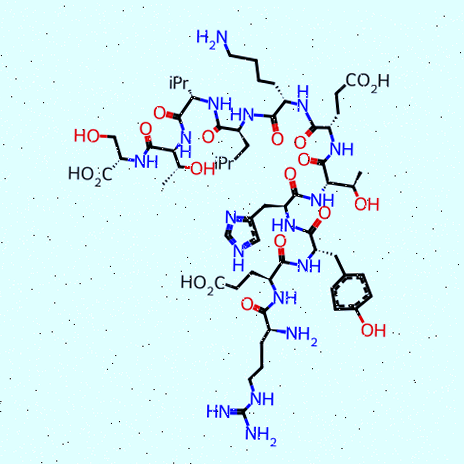 CC(C)C[C@H](NC(=O)[C@H](CCCCN)NC(=O)[C@H](CCC(=O)O)NC(=O)[C@@H](NC(=O)[C@H](Cc1c[nH]cn1)NC(=O)[C@H](Cc1ccc(O)cc1)NC(=O)[C@H](CCC(=O)O)NC(=O)[C@@H](N)CCCNC(=N)N)[C@@H](C)O)C(=O)N[C@H](C(=O)N[C@H](C(=O)N[C@@H](CO)C(=O)O)[C@@H](C)O)C(C)C